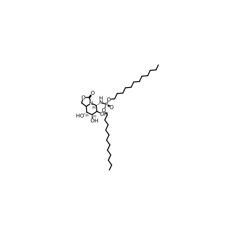 CCCCCCCCCCCCOP(=O)(N[C@@H]1C(O)[C@@H](O)[C@H](O)C2COC(=O)N21)OCCCCCCCCCCCC